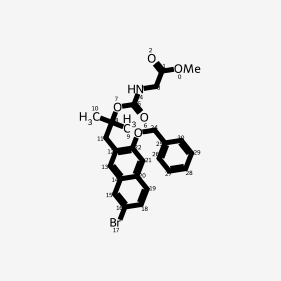 COC(=O)CNC(=O)OC(C)(C)Cc1cc2cc(Br)ccc2cc1OCc1ccccc1